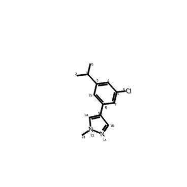 CC(C)c1cc(Cl)cc(-c2cnn(C)c2)c1